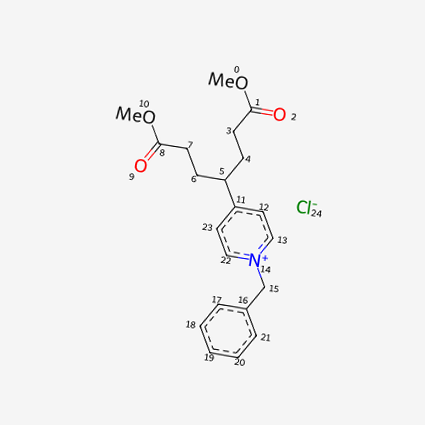 COC(=O)CCC(CCC(=O)OC)c1cc[n+](Cc2ccccc2)cc1.[Cl-]